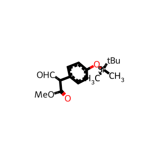 COC(=O)C(C=O)c1ccc(O[Si](C)(C)C(C)(C)C)cc1